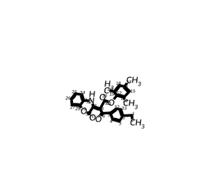 CCc1ccc(C(=O)C(C(=O)Oc2c(C)cc(C)cc2C)=C2Nc3ccccc3OC2=O)cc1